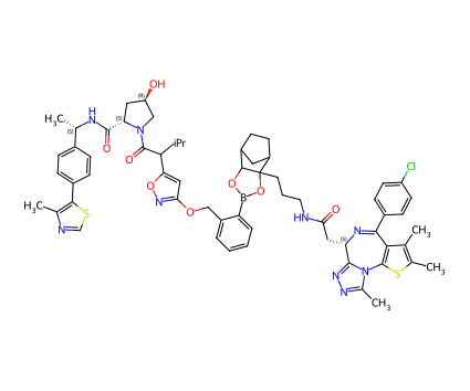 Cc1ncsc1-c1ccc([C@H](C)NC(=O)[C@@H]2C[C@@H](O)CN2C(=O)C(c2cc(OCc3ccccc3B3OC4C5CCC(C5)C4(CCCNC(=O)C[C@@H]4N=C(c5ccc(Cl)cc5)c5c(sc(C)c5C)-n5c(C)nnc54)O3)no2)C(C)C)cc1